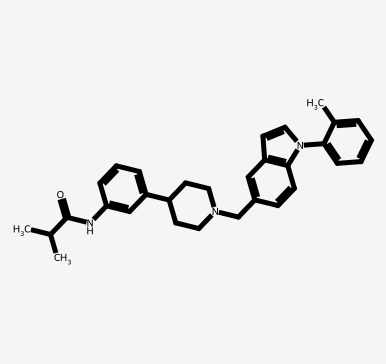 Cc1ccccc1-n1ccc2cc(CN3CCC(c4cccc(NC(=O)C(C)C)c4)CC3)ccc21